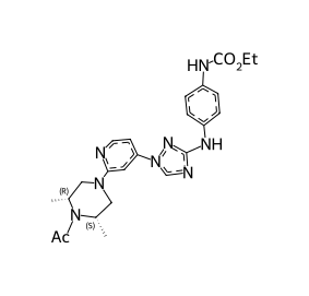 CCOC(=O)Nc1ccc(Nc2ncn(-c3ccnc(N4C[C@@H](C)N(C(C)=O)[C@@H](C)C4)c3)n2)cc1